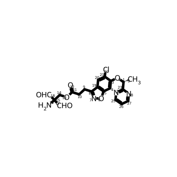 C[C@@H](Oc1cc2onc(CCC(=O)OCC(N)(C=O)C=O)c2cc1Cl)c1ncccn1